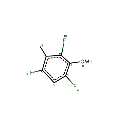 COc1c(F)cc(F)c(C)c1F